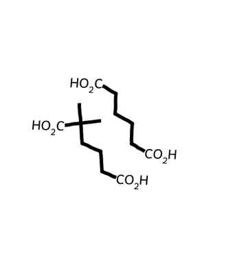 CC(C)(CCCC(=O)O)C(=O)O.O=C(O)CCCCC(=O)O